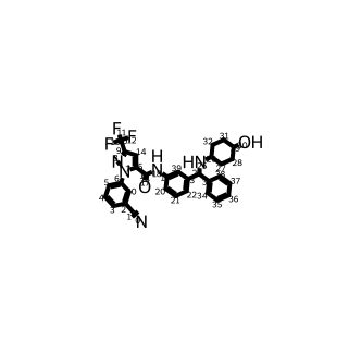 N#Cc1cccc(-n2nc(C(F)(F)F)cc2C(=O)Nc2cccc(C(NC3CCC(O)CC3)c3ccccc3)c2)c1